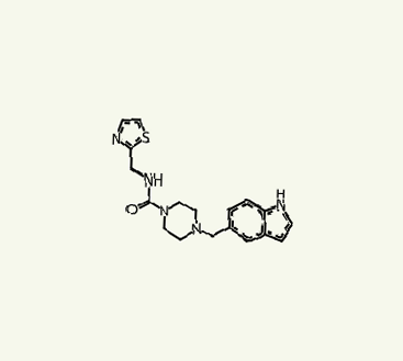 O=C(NCc1nccs1)N1CCN(Cc2ccc3[nH]ccc3c2)CC1